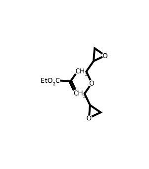 C(OCC1CO1)C1CO1.C=C(C)C(=O)OCC